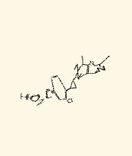 Cc1ncc2c(n1)c(C)nn2C1CC1c1ccc(C(=O)O)cc1Cl